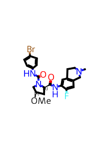 CO[C@@H]1C[C@H](C(=O)Nc2cc3c(cc2F)CN(C)CC3)N(C(=O)Nc2ccc(Br)cc2)C1